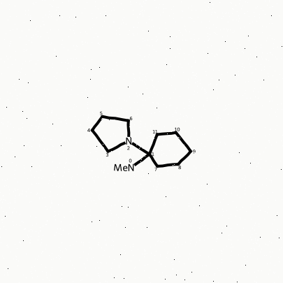 CNC1(N2CCCC2)CCCCC1